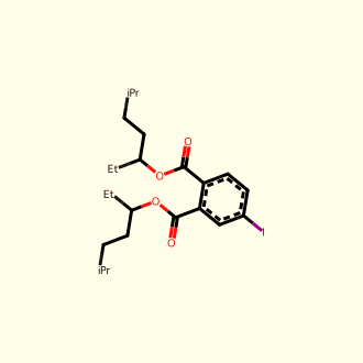 CCC(CCC(C)C)OC(=O)c1ccc(I)cc1C(=O)OC(CC)CCC(C)C